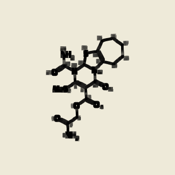 CSC1=C(C(=O)OCC(N)=O)C(=O)N2C3=C(CCCCC3)SC2N1C(N)=O